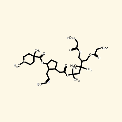 CC/C=C\CC1C(CC(=O)OC(C)(C)CC(C)(C)C(COC(=O)CCCCCCCCCCC)COC(=O)CCCCCCCCCCC)CCC1OC(=O)C1(C)CCN(C)CC1